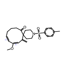 C=C1/C=C(OC)\C=C/CCCC(=O)C12CCN(S(=O)(=O)c1ccc(C)cc1)CC2